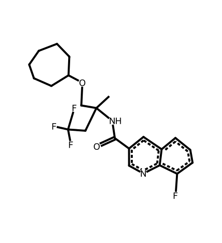 CC(COC1CCCCCC1)(CC(F)(F)F)NC(=O)c1cnc2c(F)cccc2c1